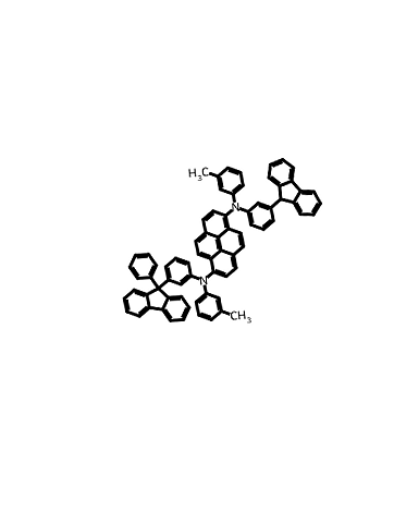 Cc1cccc(N(c2cccc(C3c4ccccc4-c4ccccc43)c2)c2ccc3ccc4c(N(c5cccc(C)c5)c5cccc(C6(c7ccccc7)c7ccccc7-c7ccccc76)c5)ccc5ccc2c3c54)c1